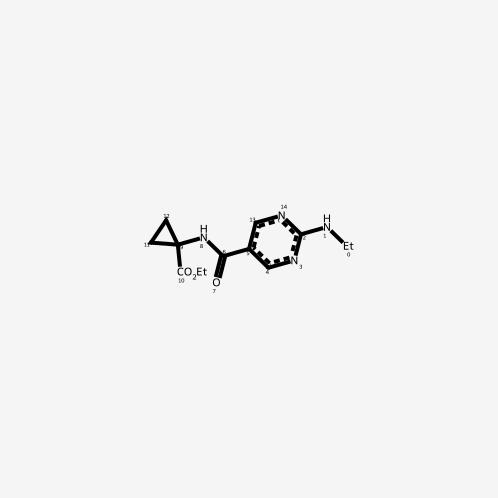 CCNc1ncc(C(=O)NC2(C(=O)OCC)CC2)cn1